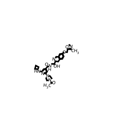 CC(=O)N1CCN(c2cc(C(=O)NC[C@@H](O)C3Cc4ccc(OCc5ocnc5C)cc4C=N3)cc(NC3CCC3)n2)CC1